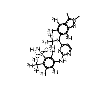 [2H]c1c([2H])c(C([2H])([2H])[2H])c(S(N)(=O)=O)c([2H])c1Nc1nccc(N(c2c([2H])c([2H])c3c(C)n(C)nc3c2[2H])C([2H])([2H])[2H])n1